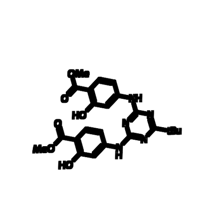 COC(=O)c1ccc(Nc2nc(Nc3ccc(C(=O)OC)c(O)c3)nc(C(C)(C)C)n2)cc1O